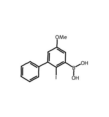 COc1cc(B(O)O)c(I)c(-c2ccccc2)c1